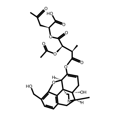 CC(=O)C[C@H](OC(=O)[C@H](OC(C)=O)[C@@H](C)C(=O)OC1=CC[C@@]2(O)[C@H]3Cc4ccc(CO)c5c4[C@@]2(CCN3C)[C@H]1O5)C(=O)O